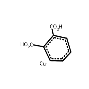 O=C(O)c1ccccc1C(=O)O.[Cu]